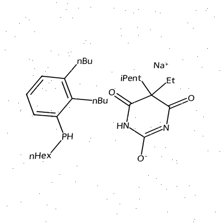 CCCC(C)C1(CC)C(=O)N=C([O-])NC1=O.CCCCCCPc1cccc(CCCC)c1CCCC.[Na+]